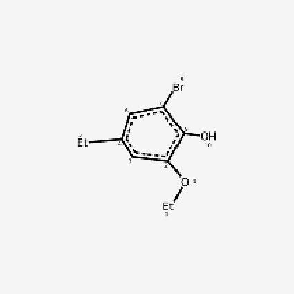 CCOc1cc(CC)cc(Br)c1O